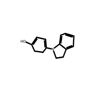 OC1=CC=C(N2CCc3ccccc32)CC1